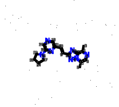 Cc1ncc(C)n2nc(C=Cc3cncc(N4CCCC4)n3)nc12